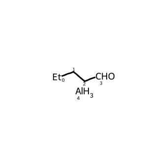 CCCCC=O.[AlH3]